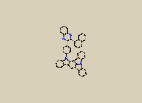 c1ccc2c(-c3nc4ccccc4nc3-c3ccc(-n4c5ccccc5c5cc6c7ccccc7n7c8ccccc8c(c54)c67)cc3)cccc2c1